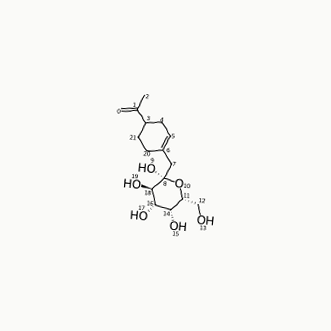 C=C(C)C1CC=C(C[C@@]2(O)O[C@H](CO)[C@H](O)[C@H](O)[C@H]2O)CC1